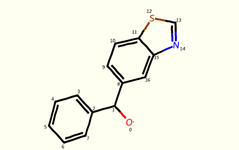 [O]C(c1ccccc1)c1ccc2scnc2c1